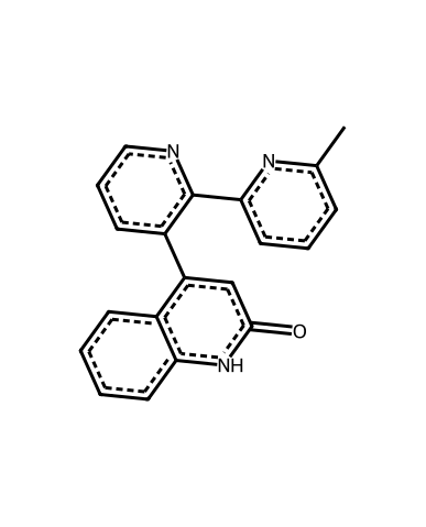 Cc1cccc(-c2ncccc2-c2cc(=O)[nH]c3ccccc23)n1